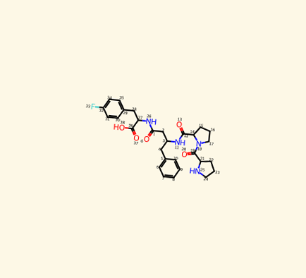 O=C(CC(Cc1ccccc1)NC(=O)C1CCCN1C(=O)C1CCCN1)NC(Cc1ccc(F)cc1)C(=O)O